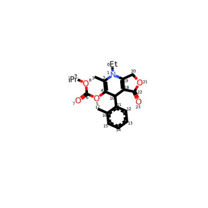 CCN1C(C)=C(OC(=O)OC(C)C)C(c2ccccc2C)C2=C1COC2=O